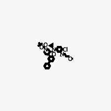 COCCCN(C)c1cc(N(C(=O)[C@H]2CN(C(=O)OC(C)(C)C)CC[C@@H]2c2cccc(-c3ccccc3)c2)C2CC2)ccc1Cl